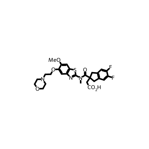 COc1cc2sc(N(C)C(=O)C3(CC(=O)O)Cc4cc(F)c(F)cc4C3)nc2cc1OCCN1CCOCC1